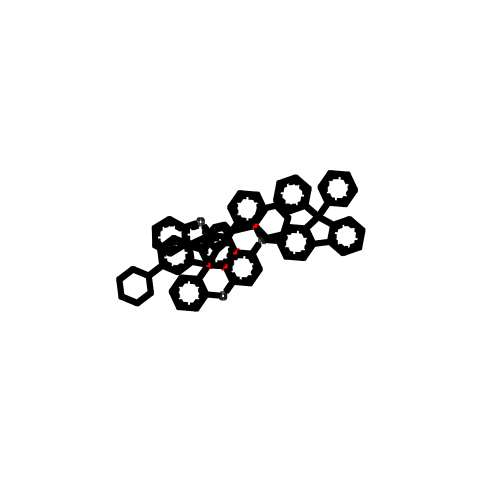 c1ccc(C2(c3ccccc3)c3ccccc3-c3ccc(N(c4ccc5c(c4)C4(c6ccccc6O5)c5cc(C6CCCCC6)ccc5-c5ccc(C6CCCCC6)cc54)c4ccccc4-c4cccc5c4oc4ccccc45)cc32)cc1